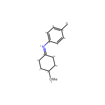 COC1CCC(=Nc2ccc(C)cc2)CC1